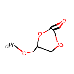 CCCOC1COC(=O)O1